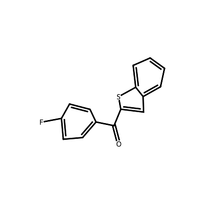 O=C(c1ccc(F)cc1)c1cc2ccccc2s1